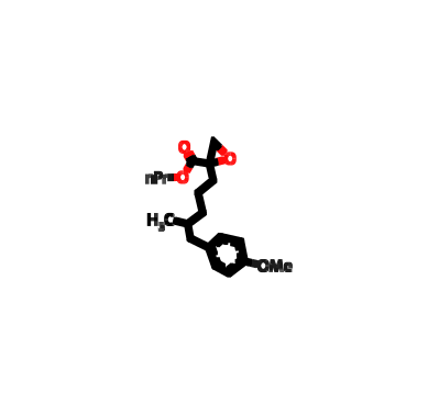 CCCOC(=O)C1(CCCC(C)Cc2ccc(OC)cc2)CO1